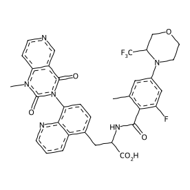 Cc1cc(N2CCOCC2C(F)(F)F)cc(F)c1C(=O)NC(Cc1ccc(-n2c(=O)c3cnccc3n(C)c2=O)c2ncccc12)C(=O)O